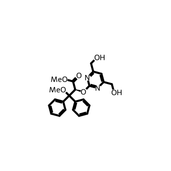 COC(=O)[C@@H](Oc1nc(CO)cc(CO)n1)C(OC)(c1ccccc1)c1ccccc1